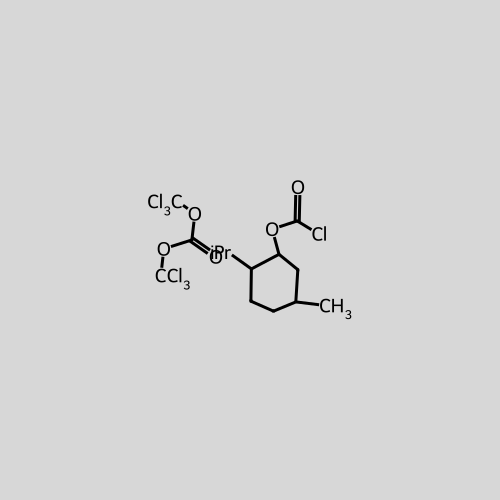 CC1CCC(C(C)C)C(OC(=O)Cl)C1.O=C(OC(Cl)(Cl)Cl)OC(Cl)(Cl)Cl